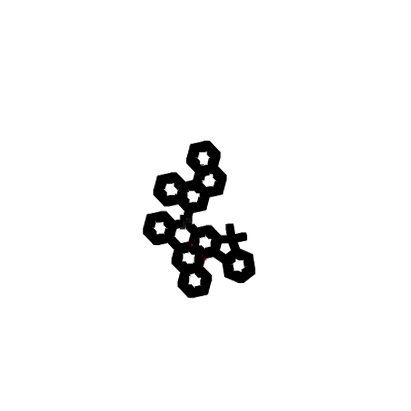 CC1(C)c2ccccc2-c2ccc(N(c3ccccc3-c3ccc4ccccc4c3)c3cc4ccc5ccccc5c4c4ccccc34)cc21